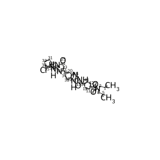 CCCN(CCC)S(=O)(=O)c1ccc(C(=O)Nc2nc3cc(-c4cc(=O)[nH]c(Nc5ccccc5Cl)n4)ccc3[nH]2)cc1